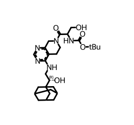 CC(C)(C)OC(=O)NC(CO)C(=O)N1CCc2c(ncnc2NC[C@H](O)C23CC4CC(CC(C4)C2)C3)C1